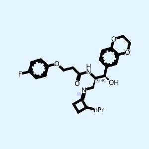 CCCC1CC/C1=N/C[C@@H](NC(=O)CCOc1ccc(F)cc1)[C@H](O)c1ccc2c(c1)OCCO2